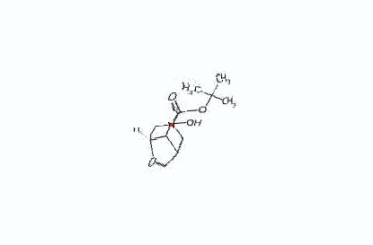 CC(C)(C)OC(=O)N1CC2CO[C@@H](C1)C2CO